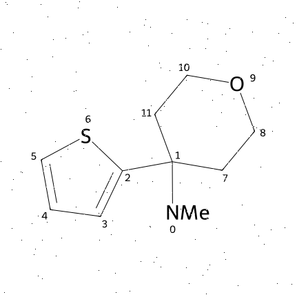 CNC1(c2cccs2)CCOCC1